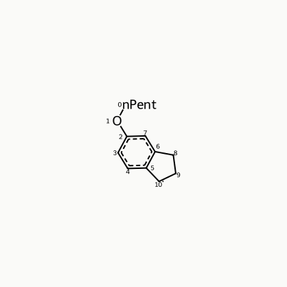 CCCCCOc1ccc2c(c1)CC[CH]2